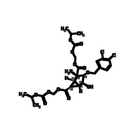 CC(C)OC(=O)OCOC(=O)[C@H]1[C@@H]2[C@H](O)[C@@H](OCc3ccc(Cl)c(Cl)c3)[C@@](N)(C(=O)OCOC(=O)OC(C)C)[C@H]12